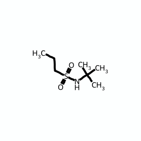 CCCS(=O)(=O)NC(C)(C)C